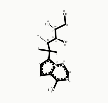 CC(C)(c1ccc2c(N)ncnn12)[C@H](F)[C@H](O)[C@H](O)CO